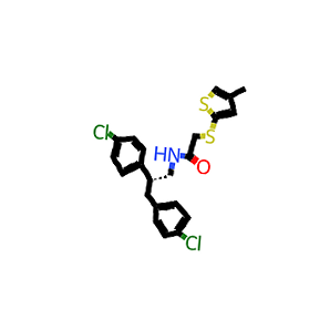 Cc1csc(SCC(=O)NC[C@H](Cc2ccc(Cl)cc2)c2ccc(Cl)cc2)c1